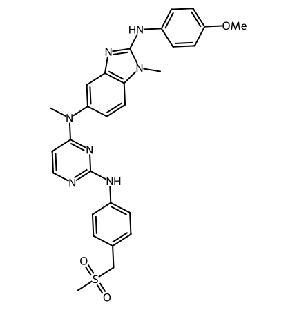 COc1ccc(Nc2nc3cc(N(C)c4ccnc(Nc5ccc(CS(C)(=O)=O)cc5)n4)ccc3n2C)cc1